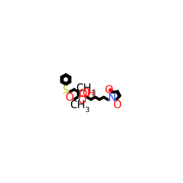 CC1OC(Sc2ccccc2)CC(C)(O)C1OC(=O)CCCCCN1C(=O)C=CC1=O